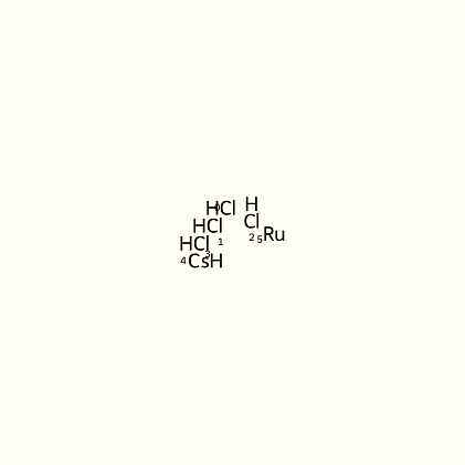 Cl.Cl.Cl.Cl.[CsH].[Ru]